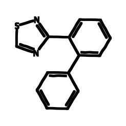 c1ccc(-c2ccccc2-c2ncsn2)cc1